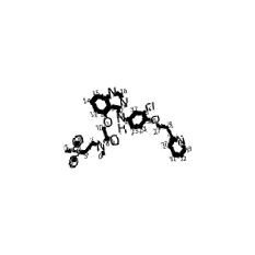 CN(CCS(C)(=O)=O)C(=O)COc1cccc2ncnc(Nc3ccc(OCCc4ccccn4)c(Cl)c3)c12